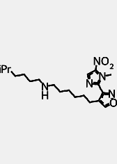 CC(C)CCCCNCCCCCCc1conc1-c1ncc([N+](=O)[O-])n1C